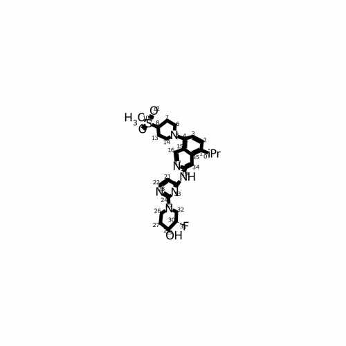 CC(C)c1ccc(N2CCC(S(C)(=O)=O)CC2)c2cnc(Nc3ccnc(N4CC[C@H](O)[C@@H](F)C4)n3)cc12